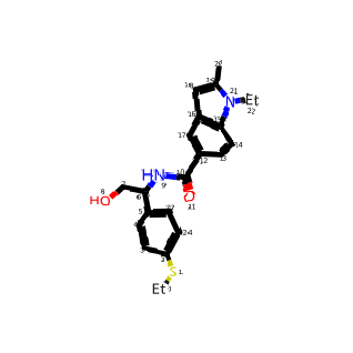 CCSc1ccc(C(CO)NC(=O)c2ccc3c(c2)cc(C)n3CC)cc1